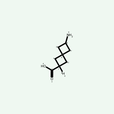 [2H]C1(C(=O)O)CC2(CC(N)C2)C1